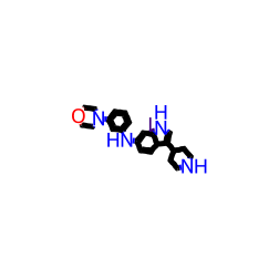 IC12C=C(Nc3cccc(N4CCOCC4)c3)C=CC1C(C1CCNCC1)=CN2